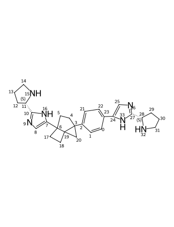 c1cc(C23CCC4(c5cnc([C@@H]6CCCN6)[nH]5)CCC24C3)ccc1-c1cnc([C@@H]2CCCN2)[nH]1